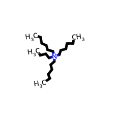 CCCCCC[N+](CCCC)(CCCCCC)CCCCCC